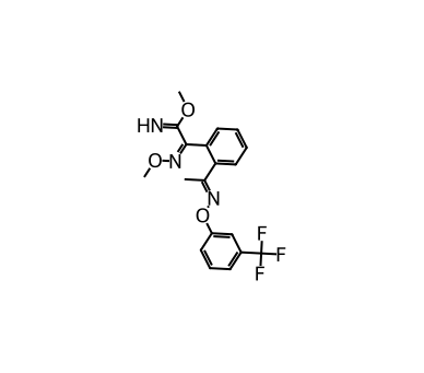 CON=C(C(=N)OC)c1ccccc1C(C)=NOc1cccc(C(F)(F)F)c1